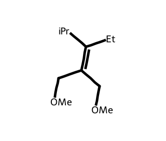 CCC(=C(COC)COC)C(C)C